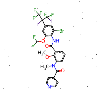 COc1c(C(=O)Nc2c(Br)cc(C(I)(C(F)(F)F)C(F)(F)I)cc2OC(F)F)cccc1N(C)C(=O)c1ccncc1